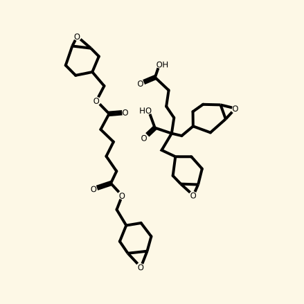 O=C(CCCCC(=O)OCC1CCC2OC2C1)OCC1CCC2OC2C1.O=C(O)CCCC(CC1CCC2OC2C1)(CC1CCC2OC2C1)C(=O)O